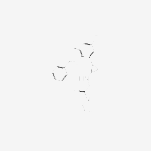 CC(C)CNC(=O)CNC1CC1c1cc(F)cc(F)c1OCc1ccccc1